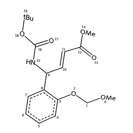 COCOc1ccccc1C(/C=C/C(=O)OC)NC(=O)OC(C)(C)C